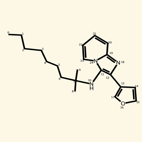 CCCCCCCC(C)(C)Nc1c(-c2ccoc2)nc2ccccn12